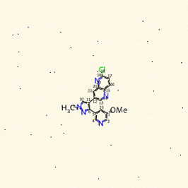 COc1cncc(-c2nn(C)cc2-c2cnc3ccc(Cl)nc3c2)c1